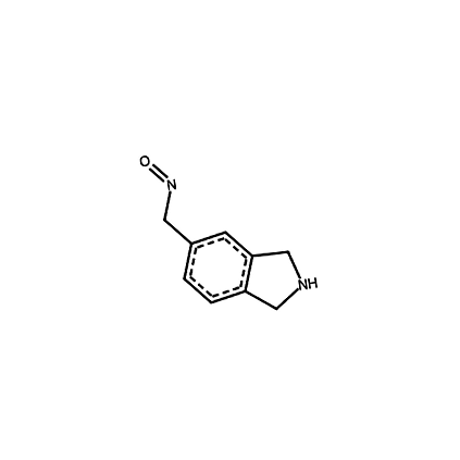 O=NCc1ccc2c(c1)CNC2